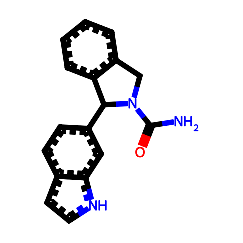 NC(=O)N1Cc2ccccc2C1c1ccc2cc[nH]c2c1